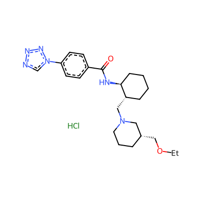 CCOC[C@@H]1CCCN(C[C@H]2CCCC[C@@H]2NC(=O)c2ccc(-n3cnnn3)cc2)C1.Cl